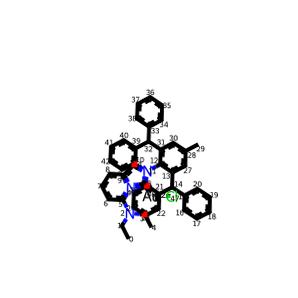 CCN(CC)c1cccc2cn(-c3c(C(c4ccccc4)c4ccccc4)cc(C)cc3C(c3ccccc3)c3ccccc3)[c](=[Au-2][Cl])n12